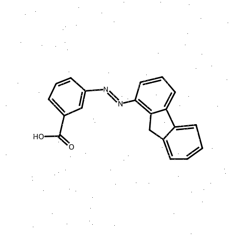 O=C(O)c1cccc(N=Nc2cccc3c2Cc2ccccc2-3)c1